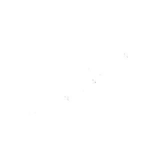 Cn1ccc2ccc(S(=O)(=O)N3CCC4(CCN(c5ccc(O)cc5)CC4)C3)cc21